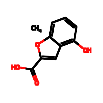 C.O=C(O)c1cc2c(O)cccc2o1